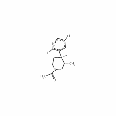 CC(=O)N1CC[C@@](F)(c2cc(Cl)cnc2F)[C@H](C)C1